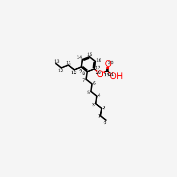 CCCCCCCCc1c(CCCC)cccc1OC(=O)O